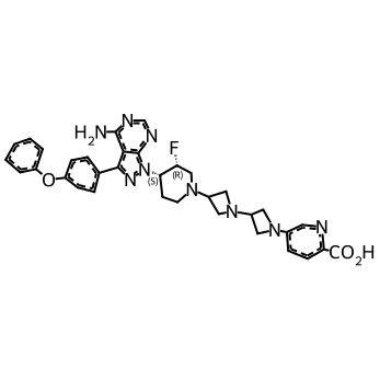 Nc1ncnc2c1c(-c1ccc(Oc3ccccc3)cc1)nn2[C@H]1CCN(C2CN(C3CN(c4ccc(C(=O)O)nc4)C3)C2)C[C@H]1F